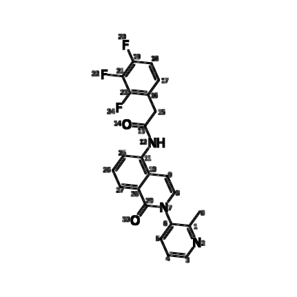 Cc1ncccc1-n1ccc2c(NC(=O)Cc3ccc(F)c(F)c3F)cccc2c1=O